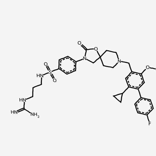 CCOc1cc(-c2ccc(F)cc2)c(C2CC2)cc1CN1CCC2(CC1)CN(c1ccc(S(=O)(=O)NCCCNC(=N)N)cc1)C(=O)O2